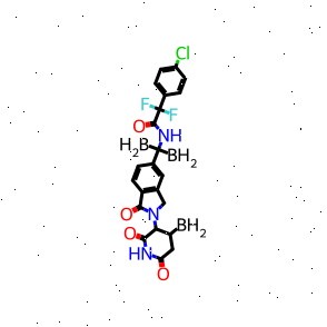 BC1CC(=O)NC(=O)C1N1Cc2cc(C(B)(B)NC(=O)C(F)(F)c3ccc(Cl)cc3)ccc2C1=O